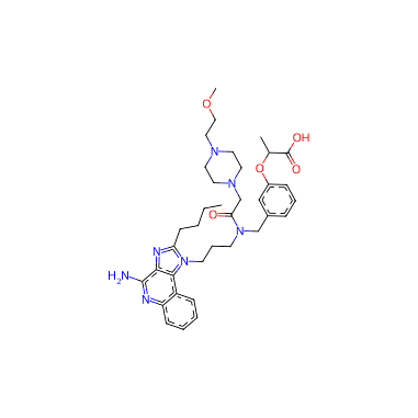 CCCCc1nc2c(N)nc3ccccc3c2n1CCCN(Cc1cccc(OC(C)C(=O)O)c1)C(=O)CN1CCN(CCOC)CC1